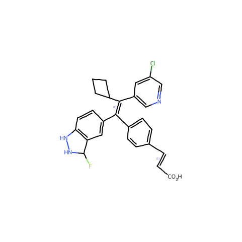 O=C(O)/C=C/c1ccc(/C(=C(\c2cncc(Cl)c2)C2CCC2)c2ccc3c(c2)C(F)NN3)cc1